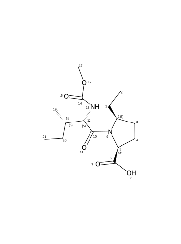 CC[C@H]1CC[C@@H](C(=O)O)N1C(=O)[C@@H](NC(=O)OC)[C@@H](C)CC